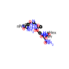 CCCCCCC(=O)NC(C(=O)NC(CCCNC(N)=O)C(=O)Nc1ccc(COC(=O)NC(Cc2ccccc2)C(=O)NCc2cncc(NC(=O)c3ccc4c(c3)N=C(N)CC(C(=O)N(CCC)CCC)=C4)c2)cc1)C(C)C